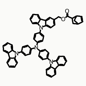 O=C(OCc1ccc2c(c1)c1ccccc1n2-c1ccc(N(c2ccc(-n3c4ccccc4c4ccccc43)cc2)c2ccc(-n3c4ccccc4c4ccccc43)cc2)cc1)C1CC2C=CC1C2